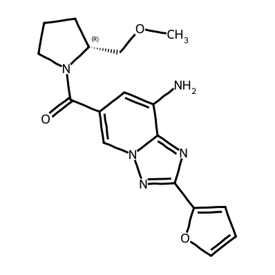 COC[C@H]1CCCN1C(=O)c1cc(N)c2nc(-c3ccco3)nn2c1